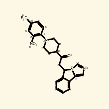 O=C(CC1c2ccccc2-c2cncn21)C1CCN(c2ccc(C(F)(F)F)cc2[N+](=O)[O-])CC1